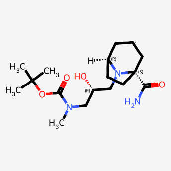 CN(C[C@H](O)CN1[C@@H]2C[CH]C[C@@]1(C(N)=O)CC2)C(=O)OC(C)(C)C